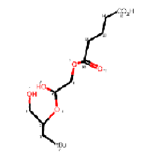 CC(C)(C)CC(CO)OC(O)COC(=O)CCCC(=O)O